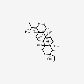 CC[C@@]1(O)CC[C@H]2[C@H](CC[C@@H]3[C@@H]2CC[C@]2(C)C(C(C)O)CCC[C@@H]32)C1